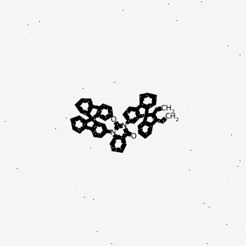 C=CC1=C(C=C)C2(c3ccccc31)c1ccccc1-c1ccc(-n3c(=O)c4ccccc4n(-c4ccc5c(c4)C4(c6ccccc6-c6ccccc64)c4ccccc4-5)c3=O)cc12